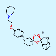 c1cc([C@@H]2CCC[C@]3(C2)OO[C@]2(O3)C3CC4CC(C3)C[C@@H]2C4)ccc1OCCN1CCCCC1